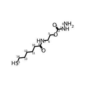 NNC(=O)OCCNC(=O)CCCCCS